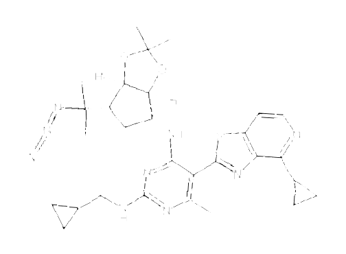 Cc1nc(NCC2CC2)nc(N[C@@H]2C[C@H](C(C)(C)N=[N+]=[N-])[C@H]3OC(C)(C)O[C@H]32)c1-c1nc2c(C3CC3)nccc2s1